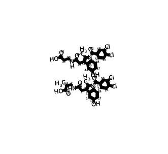 Cc1c(CC(=O)NCC(C)C(=O)O)c2cc(O)ccc2n1C(=O)c1ccc(Cl)c(Cl)c1.Cc1c(CC(=O)NCCC(=O)O)c2cc(O)ccc2n1C(=O)c1ccc(Cl)c(Cl)c1